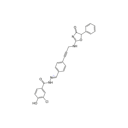 O=C(N/N=C/c1ccc(C#CCNC2=NC(=O)C(c3ccccc3)O2)cc1)c1ccc(O)c(Cl)c1